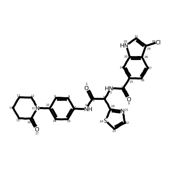 O=C(NC(C(=O)Nc1ccc(N2CCCCC2=O)cc1)c1nccs1)c1ccc2c(Cl)c[nH]c2c1